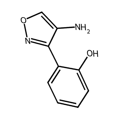 Nc1conc1-c1ccccc1O